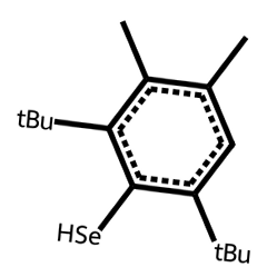 Cc1cc(C(C)(C)C)c([SeH])c(C(C)(C)C)c1C